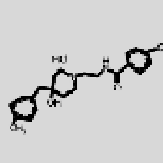 Cc1ccc(CC2(O)CCN(CCNC(=O)c3ccc(O)cc3)CC2)cc1.Cl